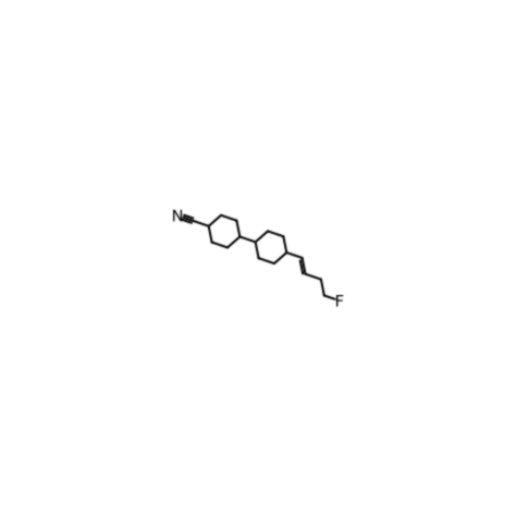 N#CC1CCC(C2CCC(C=CCCF)CC2)CC1